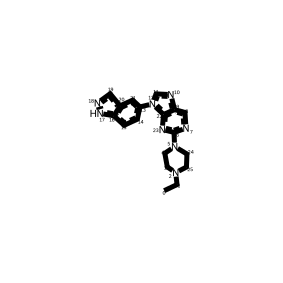 CCN1CCN(c2ncc3ncn(-c4ccc5[nH]ncc5c4)c3n2)CC1